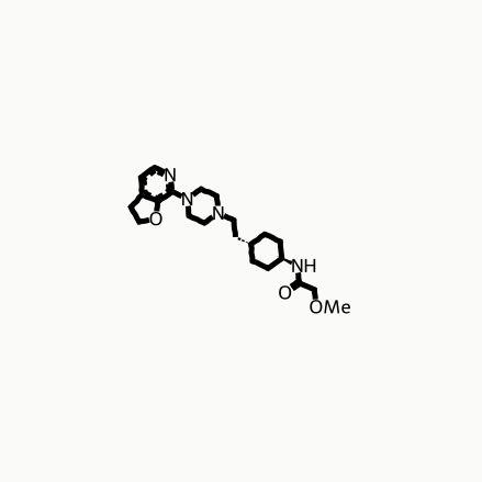 COCC(=O)N[C@H]1CC[C@H](CCN2CCN(c3nccc4c3OCC4)CC2)CC1